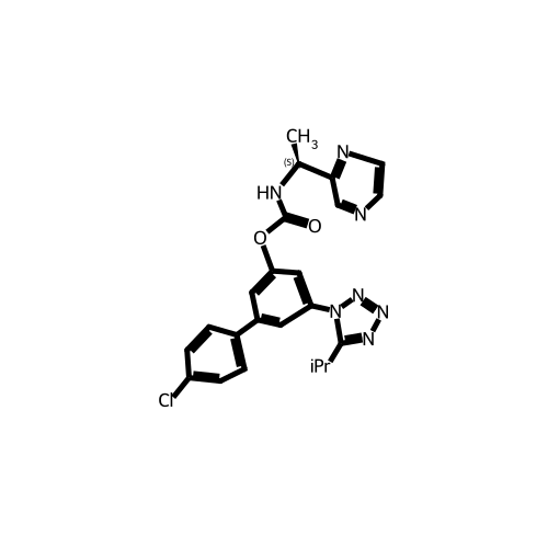 CC(C)c1nnnn1-c1cc(OC(=O)N[C@@H](C)c2cnccn2)cc(-c2ccc(Cl)cc2)c1